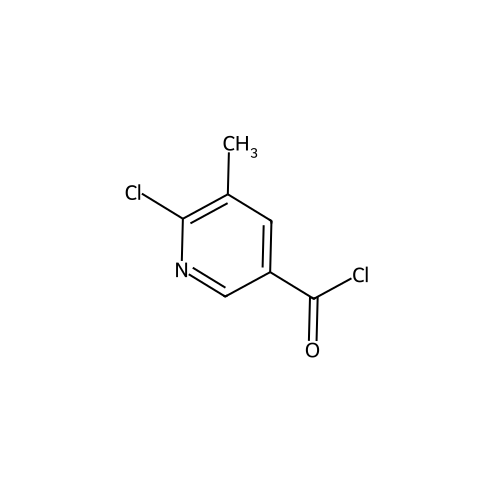 Cc1cc(C(=O)Cl)cnc1Cl